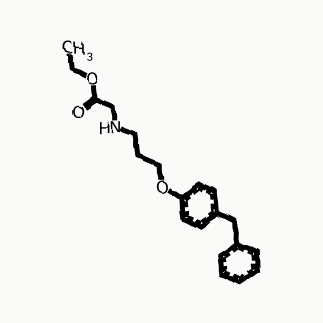 CCOC(=O)CNCCCOc1ccc(Cc2ccccc2)cc1